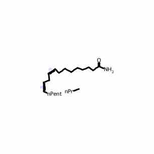 CCCC.CCCCC/C=C\C/C=C\CCCCCCCC(N)=O